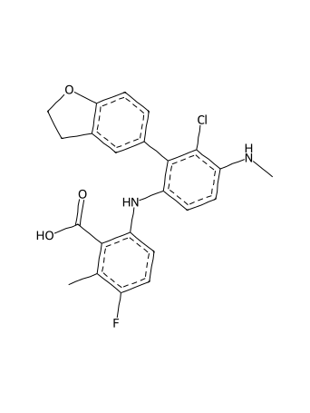 CNc1ccc(Nc2ccc(F)c(C)c2C(=O)O)c(-c2ccc3c(c2)CCO3)c1Cl